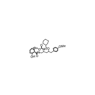 COc1ccc(CC(CC(CNC(=O)c2ccccc2O)NC(=O)OC(C)(C)C)OCC2CCCCC2)cc1